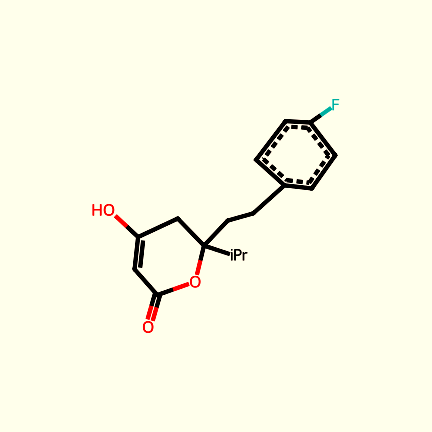 CC(C)C1(CCc2ccc(F)cc2)CC(O)=CC(=O)O1